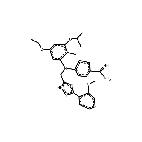 CCOc1cc(OC(C)C)c(F)c(N(Cc2nc(-c3ccccc3OC)n[nH]2)c2ccc(C(=N)N)cc2)c1